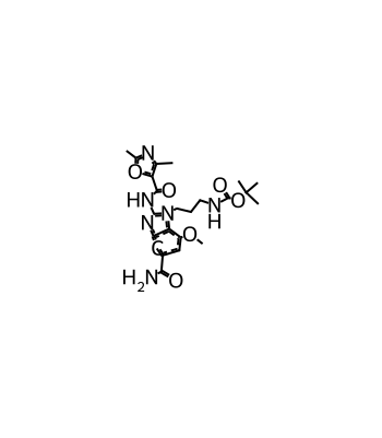 COc1cc(C(N)=O)cc2nc(NC(=O)c3oc(C)nc3C)n(CCCNC(=O)OC(C)(C)C)c12